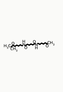 CC(=O)CCCCCNC(=O)CCCCC(=O)NCCCCCC(=O)C(C)C